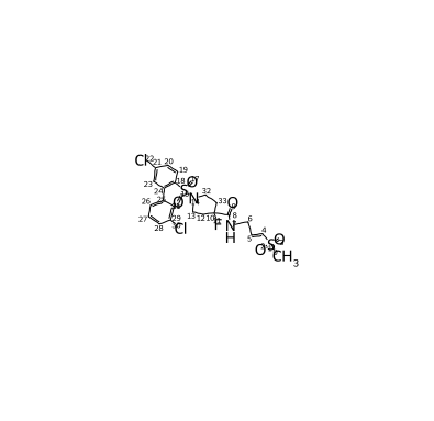 CS(=O)(=O)/C=C/CNC(=O)C1(F)CCN(S(=O)(=O)c2ccc(Cl)cc2-c2cccc(Cl)c2)CC1